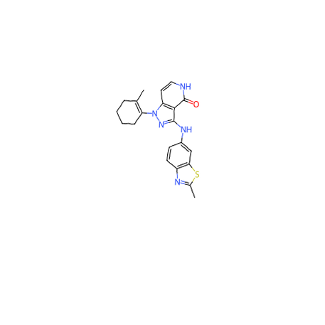 CC1=C(n2nc(Nc3ccc4nc(C)sc4c3)c3c(=O)[nH]ccc32)CCCC1